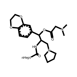 CCCCCCCC(=O)NC(CN1CCCC1)C(OC(=O)CN(C)C)c1ccc2c(c1)OCCO2